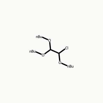 CCCCOC(Cl)C(OCCCC)OCCCC